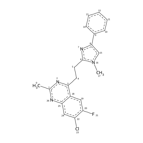 Cc1nc(CCc2nc(-c3ccccc3)cn2C)c2cc(F)c(Cl)cc2n1